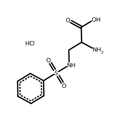 Cl.NC(CNS(=O)(=O)c1ccccc1)C(=O)O